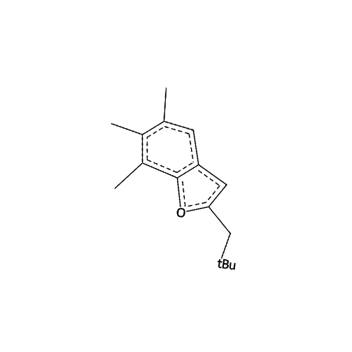 Cc1cc2cc(CC(C)(C)C)oc2c(C)c1C